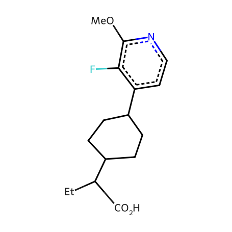 CCC(C(=O)O)C1CCC(c2ccnc(OC)c2F)CC1